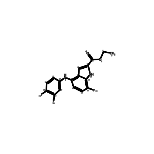 CCOC(=O)c1cc2c(Nc3ccc(F)c(F)c3)ccc(F)c2[nH]1